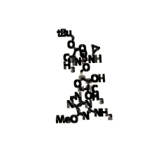 COc1nc(N)nc2c1ncn2[C@@H]1O[C@H](COP(=O)(NC2CC2)N[C@@H](C)C(=O)OCC(C)(C)C)[C@@H](O)[C@@]1(C)O